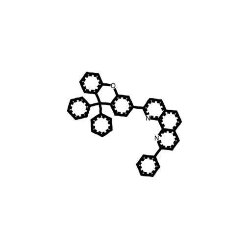 c1ccc(-c2ccc3ccc4ccc(-c5ccc6c(c5)Oc5ccccc5C6(c5ccccc5)c5ccccc5)nc4c3n2)cc1